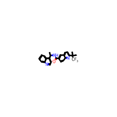 CC(NC(=O)c1ccc2nc(C(C)(C)C(F)(F)F)ccc2c1)c1ccnc2ccccc12